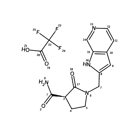 NC(=O)[C@@H]1CCN(Cc2cc3ccncc3[nH]2)C1=O.O=C(O)C(F)(F)F